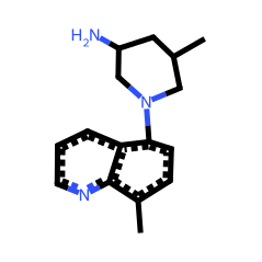 Cc1ccc(N2CC(C)CC(N)C2)c2cccnc12